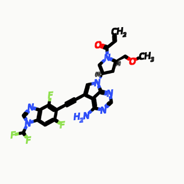 C=CC(=O)N1C[C@@H](n2cc(C#Cc3c(F)cc4c(ncn4C(F)F)c3F)c3c(N)ncnc32)C[C@@H]1COC